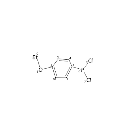 CCOc1ccc(P(Cl)Cl)cc1